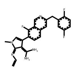 C=C/N=C1\C(=C(N)N)C(c2ccc3cc(Cc4cc(F)ccc4F)ncc3c2F)=CN1C